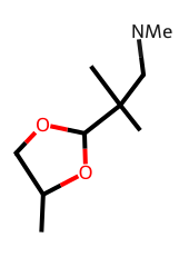 CNCC(C)(C)C1OCC(C)O1